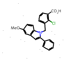 COc1ccc2c(c1)cc(-c1ccccc1)n2Cc1cccc(C(=O)O)c1Cl